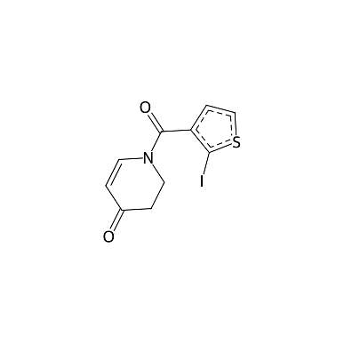 O=C1C=CN(C(=O)c2ccsc2I)CC1